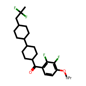 CCCOc1ccc(C(=O)C2CCC(C3CCC(CC(C)(F)F)CC3)CC2)c(F)c1F